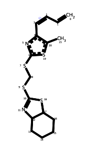 C=C/C=C\c1nc(SCSC2=NC3CCCCC3S2)sc1C